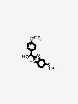 CCCSc1ccc2[nH]c(C(O)c3ccc(OC(F)(F)F)cc3)nc2c1